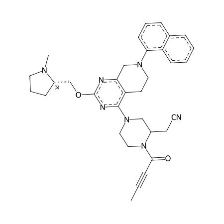 CC#CC(=O)N1CCN(c2nc(OC[C@@H]3CCCN3C)nc3c2CCN(c2cccc4ccccc24)C3)CC1CC#N